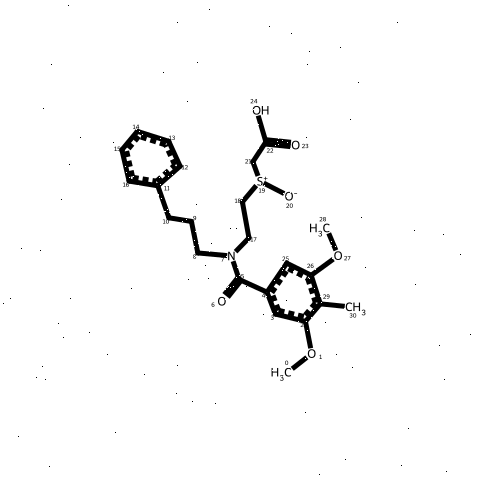 COc1cc(C(=O)N(CCCc2ccccc2)CC[S+]([O-])CC(=O)O)cc(OC)c1C